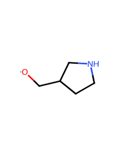 [O]CC1CCNC1